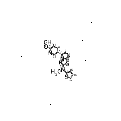 COc1ccc(-c2cnc3sc(N(C)c4cccs4)nn23)cn1